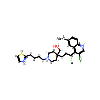 COc1ccc2ncc(Cl)c([C@@H](F)CCC3(CO)CCN(CCCCc4nccs4)CC3)c2c1